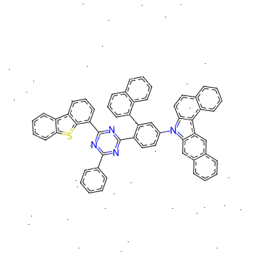 c1ccc(-c2nc(-c3ccc(-n4c5cc6ccccc6cc5c5c6ccccc6ccc54)cc3-c3cccc4ccccc34)nc(-c3cccc4c3sc3ccccc34)n2)cc1